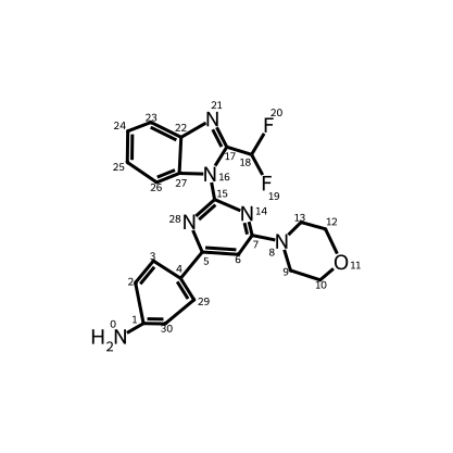 Nc1ccc(-c2cc(N3CCOCC3)nc(-n3c(C(F)F)nc4ccccc43)n2)cc1